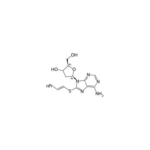 CCCC=CSc1nc2c(N)ncnc2n1[C@H]1CC(O)[C@@H](CO)O1